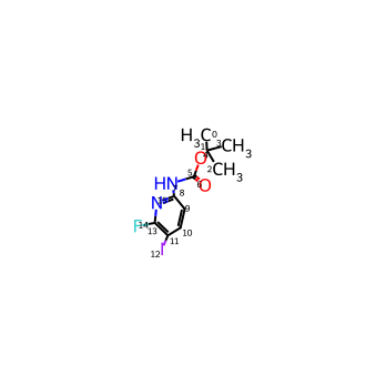 CC(C)(C)OC(=O)Nc1ccc(I)c(F)n1